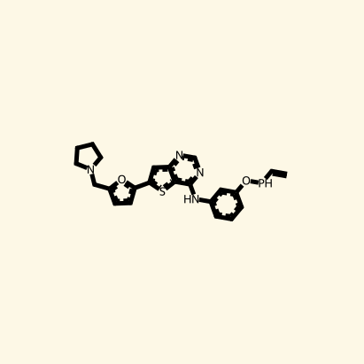 C=CPOc1cccc(Nc2ncnc3cc(-c4ccc(CN5CCCC5)o4)sc23)c1